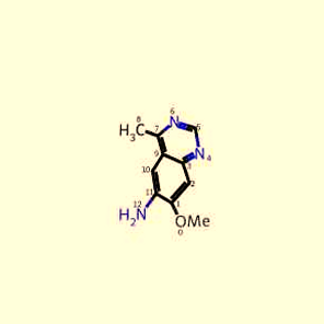 COc1cc2ncnc(C)c2cc1N